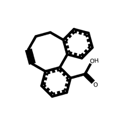 O=C(O)c1cccc2c1-c1ccccc1CCC#C2